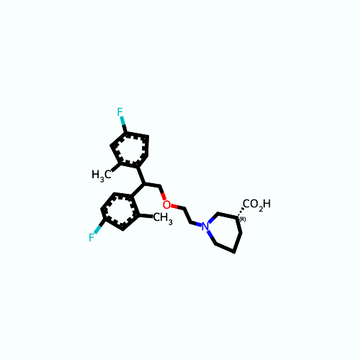 Cc1cc(F)ccc1C(COCCN1CCC[C@@H](C(=O)O)C1)c1ccc(F)cc1C